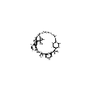 C[C@H]1Nc2ncnc3c2C=C(C2(C#N)CC2)C(N3)OCCCCCCN2CCC(CC2)C(F)(F)c2cccc1c2